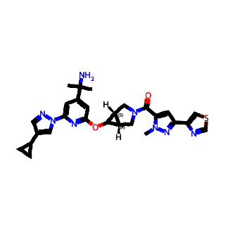 Cn1nc(-c2cscn2)cc1C(=O)N1C[C@@H]2C(Oc3cc(C(C)(C)N)cc(-n4cc(C5CC5)cn4)n3)[C@@H]2C1